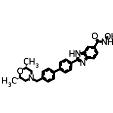 C[C@@H]1CN(Cc2ccc(-c3ccc(-c4nc5ccc(C(=O)NO)cc5[nH]4)cc3)cc2)C[C@H](C)O1